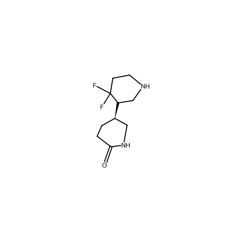 O=C1CC[C@@H](C2CNCCC2(F)F)CN1